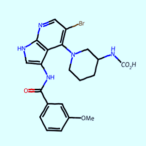 COc1cccc(C(=O)Nc2c[nH]c3ncc(Br)c(N4CCCC(NC(=O)O)C4)c23)c1